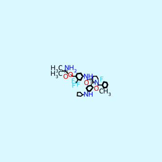 Cc1cccc(F)c1C(=O)N1CCC[C@H](C(=O)Nc2ccc(COC(=O)[C@H](N)C(C)C)c(C(F)(F)F)c2)[C@@H]1c1ccc(NC2CCCC2)cc1